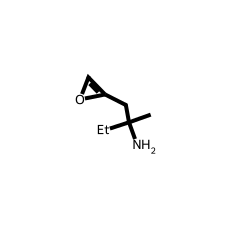 CCC(C)(N)CC1=CO1